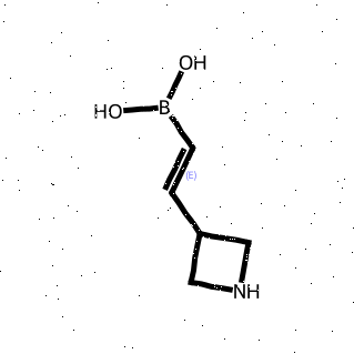 OB(O)/C=C/C1CNC1